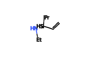 C=C[SiH](NCC)C(C)C